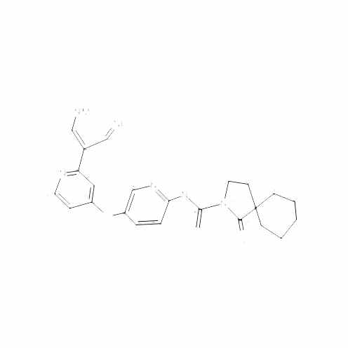 CN/C=C(\C=N)c1cc(Oc2ccc(NC(=O)N3CCC4(CCCCC4)C3=O)nc2)ccn1